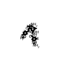 C[C@]1(C(N)=O)COc2c1cc(C(O)(CNC(=O)c1cc(F)c3nc(N)sc3c1)C1CC1)nc2-c1ccc2c(c1)OC(F)(F)O2